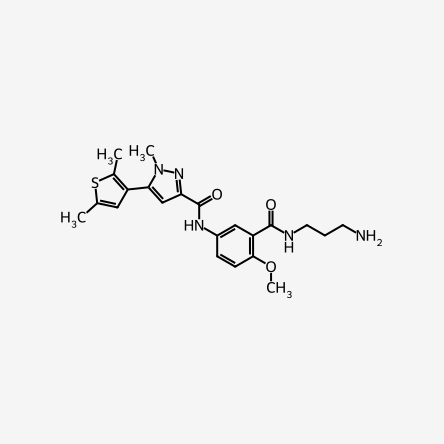 COc1ccc(NC(=O)c2cc(-c3cc(C)sc3C)n(C)n2)cc1C(=O)NCCCN